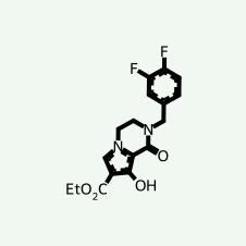 CCOC(=O)c1cn2c(c1O)C(=O)N(Cc1ccc(F)c(F)c1)CC2